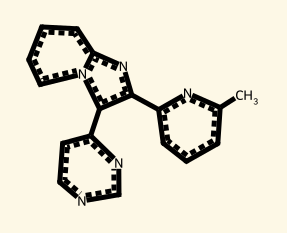 Cc1cccc(-c2nc3ccccn3c2-c2ccncn2)n1